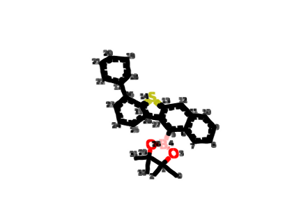 CC1(C)OB(c2c3ccccc3cc3sc4c(-c5ccccc5)cccc4c23)OC1(C)C